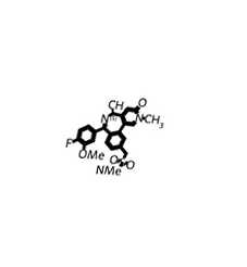 CNS(=O)(=O)Cc1ccc2c(c1)-c1cn(C)c(=O)cc1[C@H](C)N=C2c1ccc(F)c(OC)c1